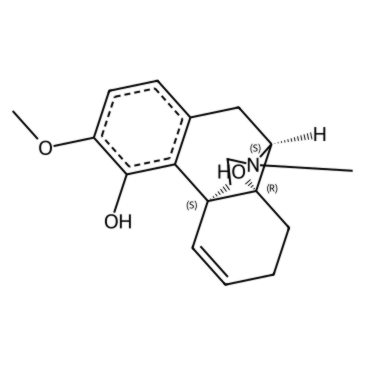 COc1ccc2c(c1O)[C@]13C=CCC[C@]1(O)[C@H](C2)N(C)CC3